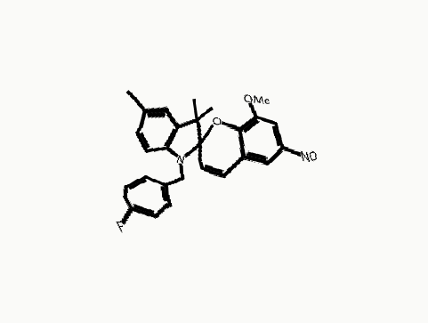 COc1cc(N=O)cc2c1OC1(C=C2)N(Cc2ccc(F)cc2)c2ccc(C)cc2C1(C)C